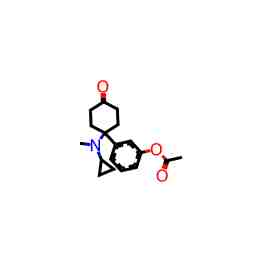 CC(=O)Oc1cccc(C2(N(C)C3CC3)CCC(=O)CC2)c1